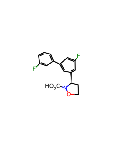 O=C(O)N1OCC[C@@H]1c1cc(F)cc(-c2cccc(F)c2)c1